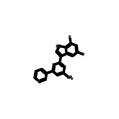 Nc1cc(-c2cccnc2)nc(-c2c[nH]c3c(F)cc(F)cc23)n1